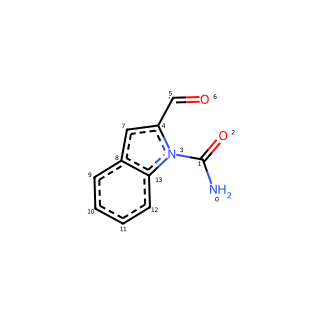 NC(=O)n1c([C]=O)cc2ccccc21